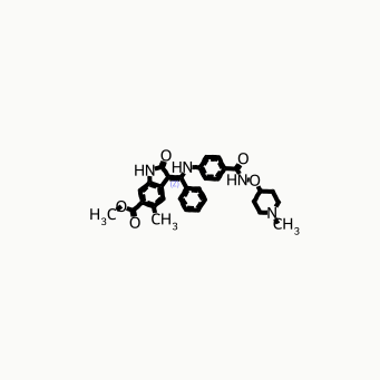 COC(=O)c1cc2c(cc1C)/C(=C(/Nc1ccc(C(=O)NOC3CCN(C)CC3)cc1)c1ccccc1)C(=O)N2